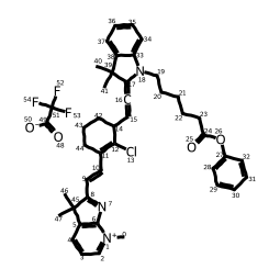 C[n+]1cccc2c1N=C(/C=C/C1=C(Cl)C(C=C=C3N(CCCCCC(=O)Oc4ccccc4)c4ccccc4C3(C)C)CCC1)C2(C)C.O=C([O-])C(F)(F)F